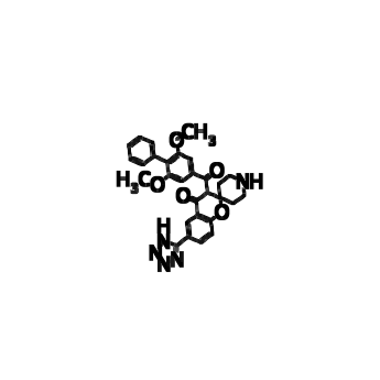 COc1cc(C(=O)C2C(=O)c3cc(-c4nnn[nH]4)ccc3OC23CCNCC3)cc(OC)c1-c1ccccc1